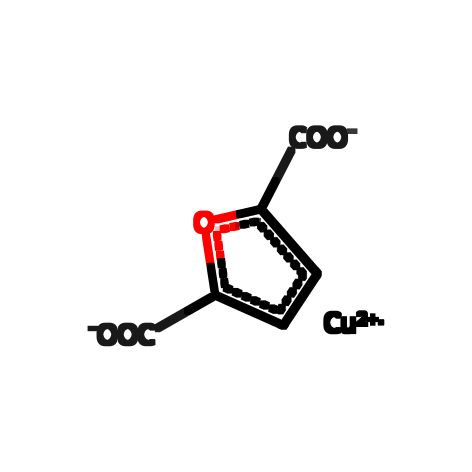 O=C([O-])c1ccc(C(=O)[O-])o1.[Cu+2]